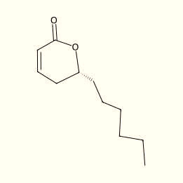 CCCCCC[C@@H]1CC=CC(=O)O1